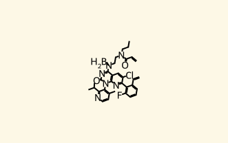 BN(CCN(CCC)C(=O)C=C)c1nc(=O)n(-c2c(C)ccnc2C(C)C)c2nc(-c3c(F)cccc3C=C)c(Cl)cc12